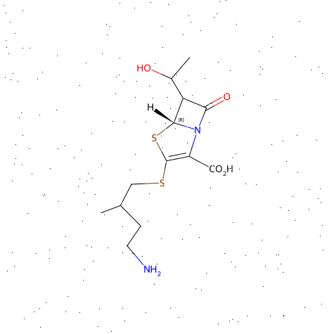 CC(CCN)CSC1=C(C(=O)O)N2C(=O)C(C(C)O)[C@H]2S1